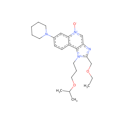 CCOCc1nc2c[n+]([O-])c3cc(N4CCCCC4)ccc3c2n1CCCOC(C)C